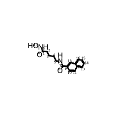 O=C(CCCCNC(=O)c1ccc2ccccc2c1)NO